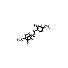 Cc1ccc(COC23CCC(C)(CC2)C(F)=C3F)c(F)c1